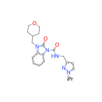 CC(C)n1ccc(CNC(=O)n2c(=O)n(CC3CCOCC3)c3ccccc32)n1